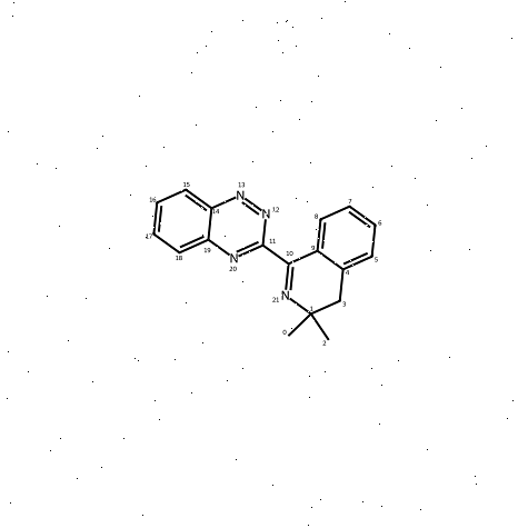 CC1(C)Cc2ccccc2C(c2nnc3ccccc3n2)=N1